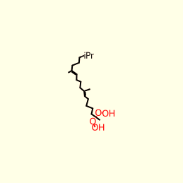 C/C(=C\CCCCC(C)(OO)OO)CCC/C=C(\C)CCCC(C)C